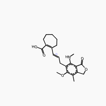 CNc1c(C/C=C/C2=C(C(=O)O)CCCCC2)c(OC)c(C)c2c1C(=O)OC2